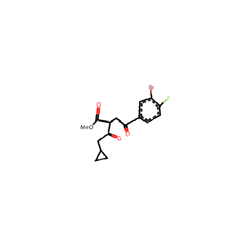 COC(=O)C(CC(=O)c1ccc(F)c(Br)c1)C(=O)CC1CC1